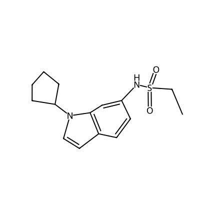 CCS(=O)(=O)Nc1ccc2ccn(C3CCCC3)c2c1